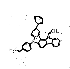 C=Cc1ccc(-n2c3ccc(-c4ccccc4)cc3c3c4c(ccc32)c2ccccc2n4C=C)cc1